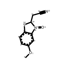 COc1ccc2c(c1)[N+](=O)C(CC#N)S2